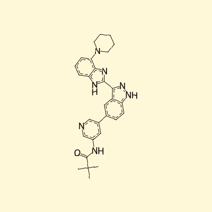 CC(C)(C)C(=O)Nc1cncc(-c2ccc3[nH]nc(-c4nc5c(N6CCCCC6)cccc5[nH]4)c3c2)c1